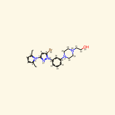 Cc1ccc(C)n1-c1cc(Br)n(-c2cccc(N3CCN(CCO)CC3)c2)n1